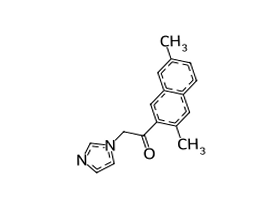 Cc1ccc2cc(C)c(C(=O)Cn3ccnc3)cc2c1